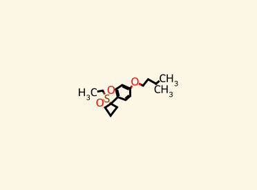 CCS(=O)(=O)C1(c2ccc(OCCC(C)C)cc2)CCC1